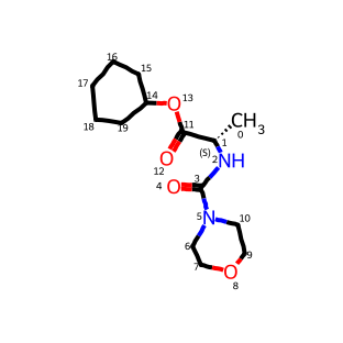 C[C@H](NC(=O)N1CCOCC1)C(=O)OC1CCCCC1